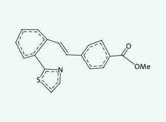 COC(=O)c1ccc(C=Cc2ccccc2-c2nccs2)cc1